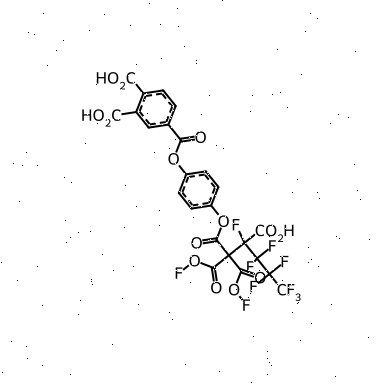 O=C(Oc1ccc(OC(=O)C(C(=O)OF)(C(=O)OF)C(F)(C(=O)O)C(F)(F)C(F)(F)C(F)(F)F)cc1)c1ccc(C(=O)O)c(C(=O)O)c1